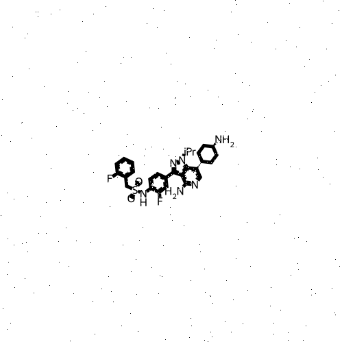 CC(C)n1nc(-c2ccc(NS(=O)(=O)Cc3ccccc3F)c(F)c2)c2c(N)ncc([C@H]3CC[C@H](N)CC3)c21